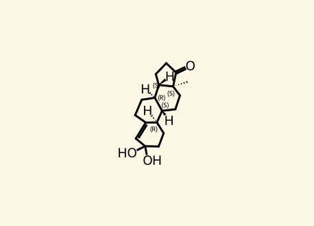 C[C@]12CC[C@H]3[C@@H](CCC4=CC(O)(O)CC[C@@H]43)[C@@H]1CCC2=O